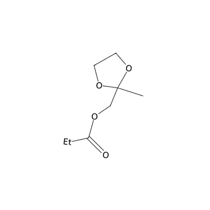 CCC(=O)OCC1(C)OCCO1